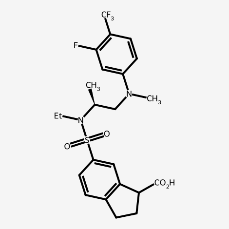 CCN([C@@H](C)CN(C)c1ccc(C(F)(F)F)c(F)c1)S(=O)(=O)c1ccc2c(c1)C(C(=O)O)CC2